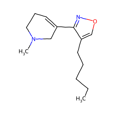 CCCCCc1conc1C1=CCCN(C)C1